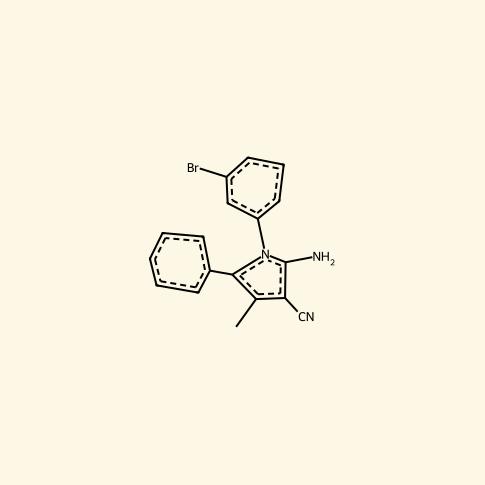 Cc1c(C#N)c(N)n(-c2cccc(Br)c2)c1-c1ccccc1